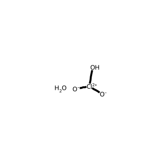 O.[O-][Cl+2]([O-])O